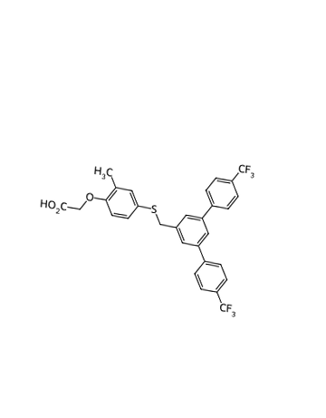 Cc1cc(SCc2cc(-c3ccc(C(F)(F)F)cc3)cc(-c3ccc(C(F)(F)F)cc3)c2)ccc1OCC(=O)O